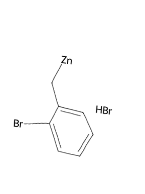 Br.[Zn][CH2]c1ccccc1Br